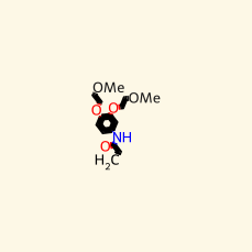 C=CC(=O)Nc1ccc(OCCOC)c(OCCOC)c1